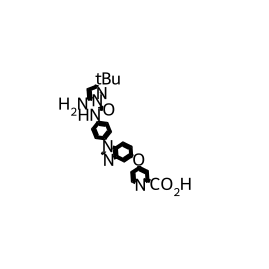 CC(C)(C)c1cc(N)n(C(=O)Nc2ccc(-n3cnc4cc(Oc5ccnc(C(=O)O)c5)ccc43)cc2)n1